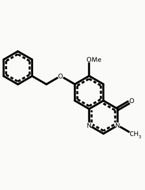 COc1cc2c(=O)n(C)cnc2cc1OCc1ccccc1